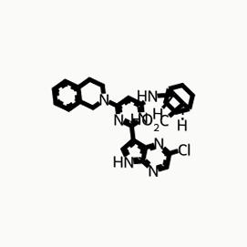 O=C(O)[C@@H]1C2CCC(CC2)[C@H]1Nc1cc(N2CCc3ccccc3C2)nc(-c2c[nH]c3ncc(Cl)nc23)n1